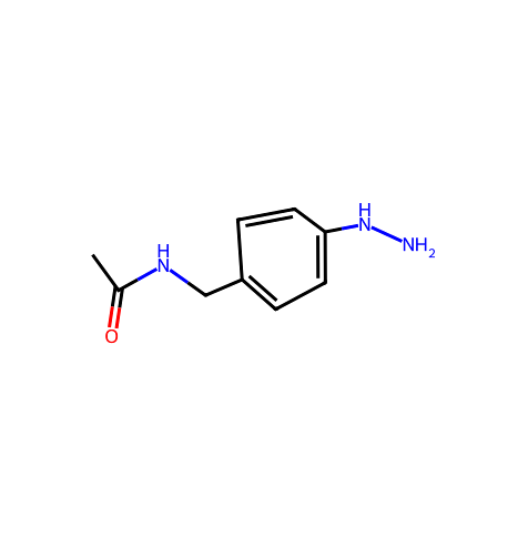 CC(=O)NCc1ccc(NN)cc1